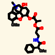 COc1ccc2c3c1OC1C(OC(=O)C(C)OC(=O)CCNC(=O)C(OC(C)=O)c4ccccc4)=CCC4(O)C(C2)N(C)CCC314